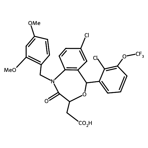 COc1ccc(CN2C(=O)C(CC(=O)O)OC(c3cccc(OC(F)(F)F)c3Cl)c3cc(Cl)ccc32)c(OC)c1